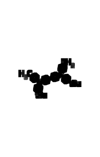 Bc1ccc(N(c2ccc(-c3ccc(N(c4ccc(C)cc4)c4ccc(C(C)(C)C)cc4)cc3)cc2)c2ccc(C(C)(C)C)cc2)cc1